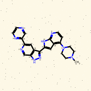 CN1CCN(c2ccnc3[nH]c(-c4n[nH]c5cnc(-c6cnccn6)cc45)cc23)CC1